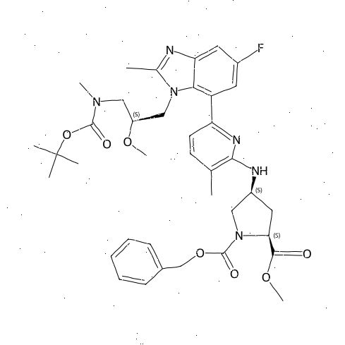 COC(=O)[C@@H]1C[C@H](Nc2nc(-c3cc(F)cc4nc(C)n(C[C@H](CN(C)C(=O)OC(C)(C)C)OC)c34)ccc2C)CN1C(=O)OCc1ccccc1